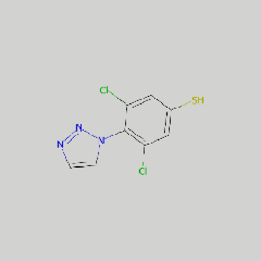 Sc1cc(Cl)c(-n2ccnn2)c(Cl)c1